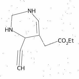 C#CC1NCNC=C1CC(=O)OCC